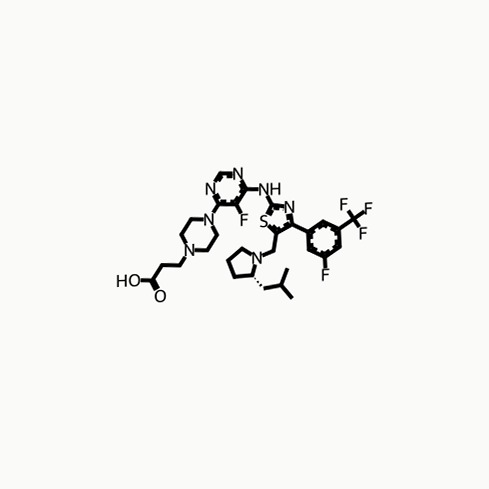 CC(C)C[C@@H]1CCCN1Cc1sc(Nc2ncnc(N3CCN(CCC(=O)O)CC3)c2F)nc1-c1cc(F)cc(C(F)(F)F)c1